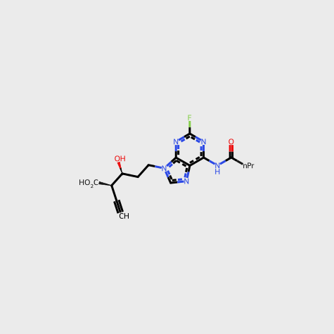 C#C[C@@H](C(=O)O)[C@@H](O)CCn1cnc2c(NC(=O)CCC)nc(F)nc21